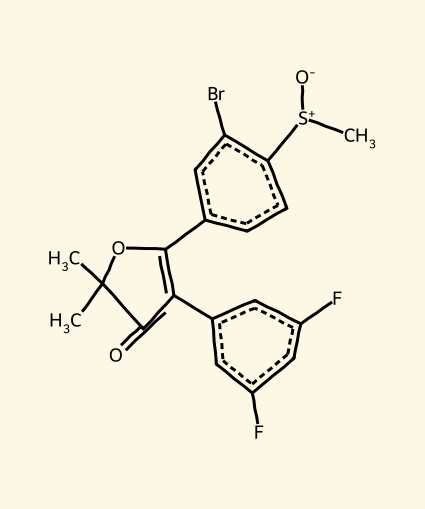 C[S+]([O-])c1ccc(C2=C(c3cc(F)cc(F)c3)C(=O)C(C)(C)O2)cc1Br